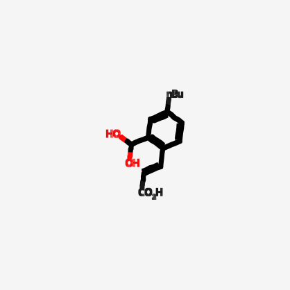 CCCCc1ccc(C=CC(=O)O)c(C(O)O)c1